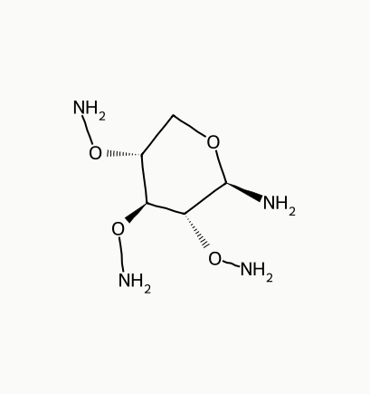 NO[C@@H]1[C@@H](ON)[C@H](ON)CO[C@H]1N